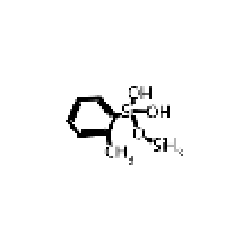 Cc1ccccc1[Si](O)(O)O[SiH3]